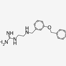 N=C(N)NCCNCc1cccc(OCc2ccccc2)c1